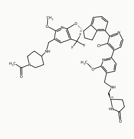 COc1nc(-c2ccnc(-c3cccc4c3CC[C@@H]4Oc3nc(OC)c(CNC4CCN(C(C)=O)CC4)cc3C(F)(F)F)c2Cl)ccc1CNC[C@H]1CCC(=O)N1